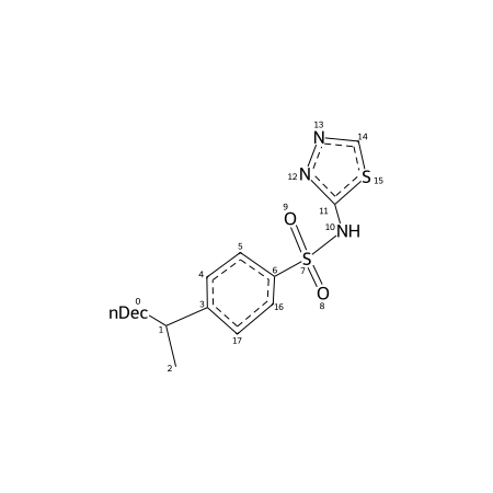 CCCCCCCCCCC(C)c1ccc(S(=O)(=O)Nc2nncs2)cc1